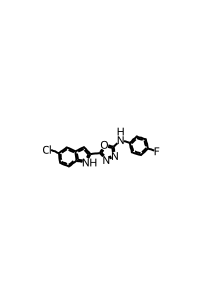 Fc1ccc(Nc2nnc(-c3cc4cc(Cl)ccc4[nH]3)o2)cc1